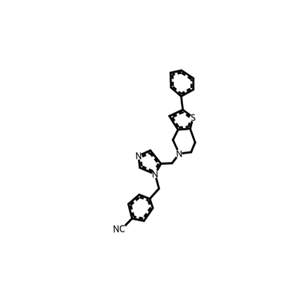 N#Cc1ccc(Cn2cncc2CN2CCc3sc(-c4ccccc4)cc3C2)cc1